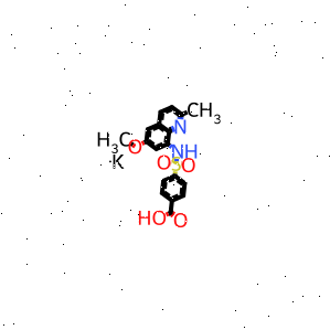 COc1cc(NS(=O)(=O)c2ccc(C(=O)O)cc2)c2nc(C)ccc2c1.[K]